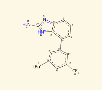 CC(C)(C)c1cc(-c2cccc3nc(N)[nH]c23)cc(C(F)(F)F)c1